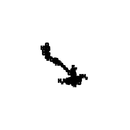 Nc1ccn(-c2cncc(-n3ccc(N)nc3=O)c2NC(=O)c2ccc(OC(F)F)c(OCCCCCCCNCc3ccc(OCc4scc5c4CN(C4CCC(=O)NC4=O)C5=O)cc3)c2)c(=O)n1